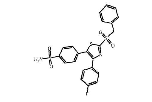 NS(=O)(=O)c1ccc(-c2sc(S(=O)(=O)Cc3ccccc3)nc2-c2ccc(F)cc2)cc1